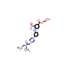 CCN(CC)C(=O)CN1CCN(c2cccc(Nc3ccc(C(=O)OCCO)cc3[N+](=O)[O-])c2)CC1